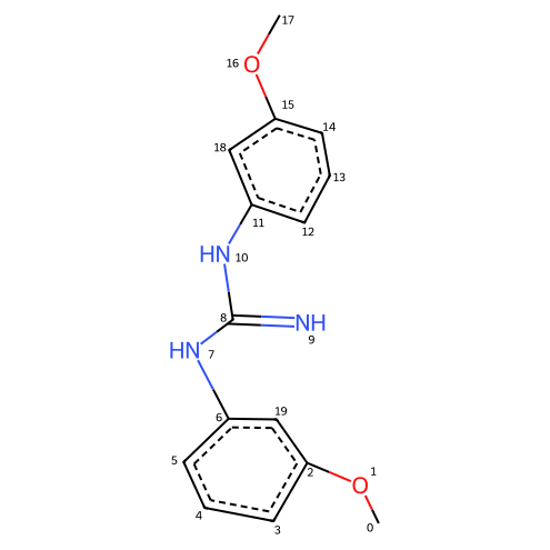 COc1cccc(NC(=N)Nc2cccc(OC)c2)c1